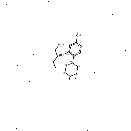 CCCCN.Oc1ccc(C2CCNCC2)c(O)c1